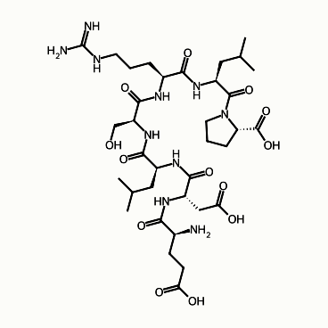 CC(C)C[C@H](NC(=O)[C@H](CC(=O)O)NC(=O)[C@@H](N)CCC(=O)O)C(=O)N[C@@H](CO)C(=O)N[C@@H](CCCNC(=N)N)C(=O)N[C@@H](CC(C)C)C(=O)N1CCC[C@H]1C(=O)O